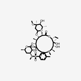 CC[C@H]1OC(=O)[C@H](C)[C@@H](OC2C[C@@](C)(OC)[C@@H](O)[C@H](C)O2)[C@H](C)[C@@H](O[C@@H]2O[C@H](C)C[C@H](N(C)S(=O)(=O)c3ccc(C)cc3)[C@H]2O)[C@@](C)(O)C[C@@H](C)CN(C)[C@H](C)[C@@H](O)[C@]1(C)O